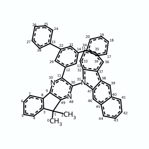 CC1(C)c2ccccc2-c2nc(-c3cc(-c4ccccc4)cc(-c4ccccc4)c3)c(-n3c4ccccc4c4cc5ccccc5cc43)nc21